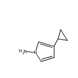 Nn1ccc(C2CC2)c1